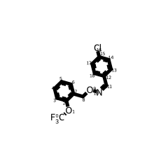 FC(F)(F)Oc1ccccc1CO/N=[C]\c1ccc(Cl)cc1